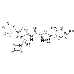 O=C(N[C@@H]1CCN(C2CCCCC2)C[C@H]1C(=O)N1CCC1)c1cc(-c2ccc(F)cc2F)on1